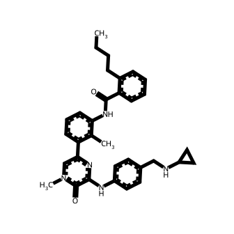 CCCCc1ccccc1C(=O)Nc1cccc(-c2cn(C)c(=O)c(Nc3ccc(CNC4CC4)cc3)n2)c1C